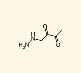 CC(=O)C(=O)CNN